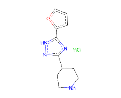 Cl.c1coc(-c2nc(C3CCNCC3)n[nH]2)c1